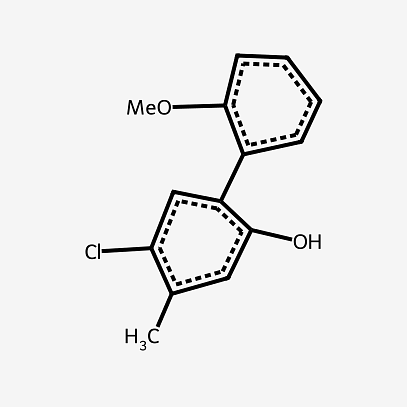 COc1ccccc1-c1cc(Cl)c(C)cc1O